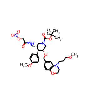 COCCCN1CCOc2ccc(CO[C@H]3CN(C(=O)OC(C)(C)C)C[C@@H](CNC(=O)CO[N+](=O)[O-])[C@@H]3c3ccc(OC)cc3)cc21